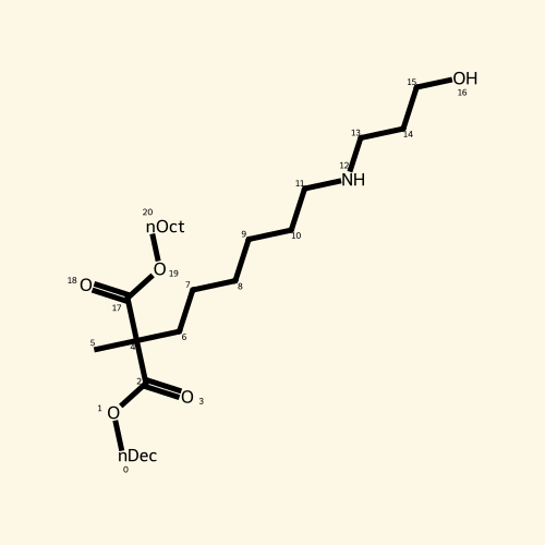 CCCCCCCCCCOC(=O)C(C)(CCCCCCNCCCO)C(=O)OCCCCCCCC